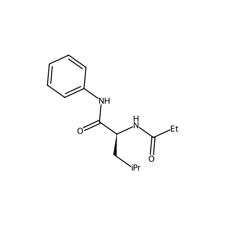 CCC(=O)N[C@@H](CC(C)C)C(=O)Nc1ccccc1